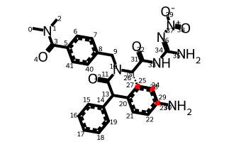 CN(C)C(=O)c1ccc(CN(C(=O)C(c2ccccc2)c2ccccc2)[C@@H](CCCN)C(=O)NC(N)=N[N+](=O)[O-])cc1